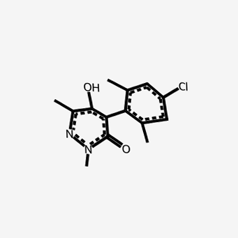 Cc1cc(Cl)cc(C)c1-c1c(O)c(C)nn(C)c1=O